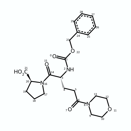 O=C(N[C@H](CCC(=O)N1CCOCC1)C(=O)N1CCC[C@H]1C(=O)O)OCc1ccccc1